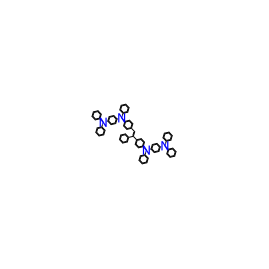 C(=C(/c1ccccc1)c1ccc(N(c2ccccc2)c2ccc(N(c3ccccc3)c3ccccc3)cc2)cc1)/c1ccc(N(c2ccccc2)c2ccc(N(c3ccccc3)c3ccccc3)cc2)cc1